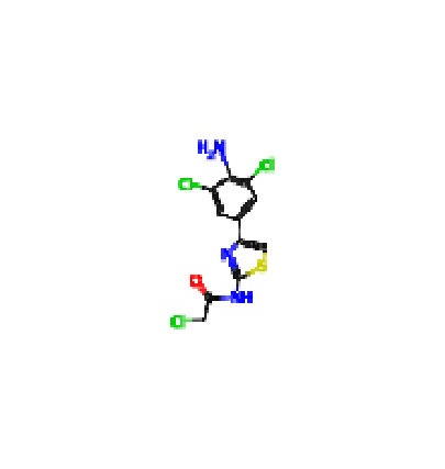 Nc1c(Cl)cc(-c2csc(NC(=O)CCl)n2)cc1Cl